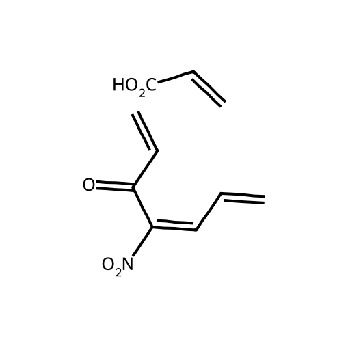 C=CC(=O)O.C=CC=C(C(=O)C=C)[N+](=O)[O-]